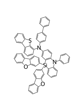 c1ccc(-c2ccc(N(c3ccc4c(c3)[Si](c3ccc5c(c3)oc3ccccc35)(c3ccc5c(c3)oc3ccccc35)c3ccccc3N4c3ccccc3)c3cccc4c3sc3ccccc34)cc2)cc1